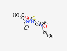 CC(=O)OC(CC(C(C)C)N(C)C(=O)CC12CC(C(C)(C)C)(C1)C2)c1nc(C(=O)N[C@@H](Cc2ccccc2)C[C@H](C)C(=O)O)cs1